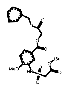 COc1ccc(C(=O)OCC(=O)OCc2ccccc2)cc1NS(=O)(=O)CC(=O)OC(C)(C)C